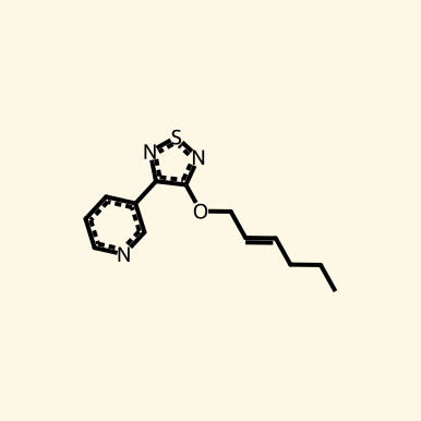 CCCC=CCOc1nsnc1-c1cccnc1